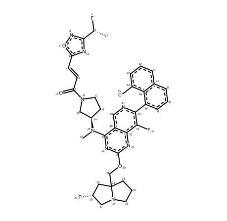 C[C@@H](F)c1noc(/C=C/C(=O)N2CC[C@@H](N(C)c3nc(OCC45CCCN4C[C@H](F)C5)nc4c(F)c(-c5cccc6cccc(Cl)c56)ncc34)C2)n1